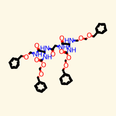 O=C(CNC(=O)C(NCOCOCc1ccccc1)NC(=O)OCOCc1ccccc1)NC(NC(=O)OCOCc1ccccc1)C(=O)NCOCc1ccccc1